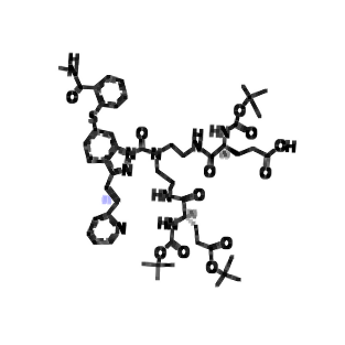 CNC(=O)c1ccccc1Sc1ccc2c(/C=C/c3ccccn3)nn(C(=O)N(CCNC(=O)[C@H](CCC(=O)O)NC(=O)OC(C)(C)C)CCNC(=O)[C@H](CCC(=O)OC(C)(C)C)NC(=O)OC(C)(C)C)c2c1